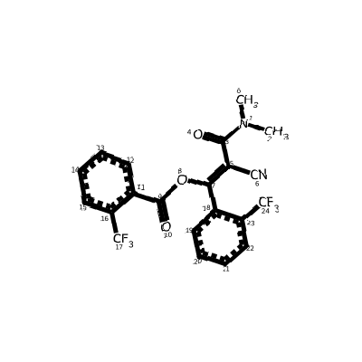 CN(C)C(=O)/C(C#N)=C(\OC(=O)c1ccccc1C(F)(F)F)c1ccccc1C(F)(F)F